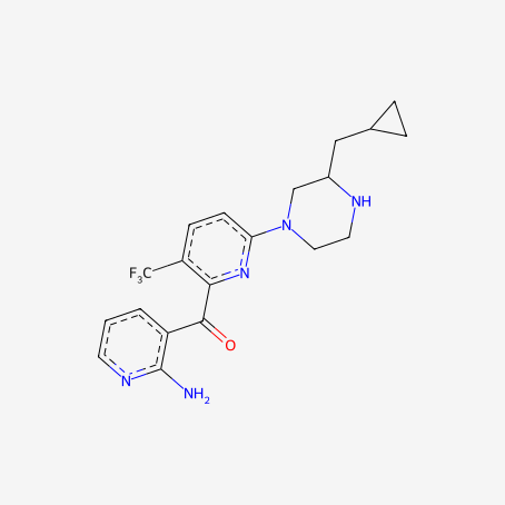 Nc1ncccc1C(=O)c1nc(N2CCNC(CC3CC3)C2)ccc1C(F)(F)F